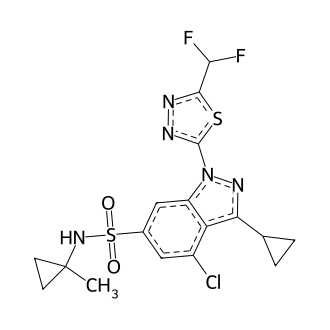 CC1(NS(=O)(=O)c2cc(Cl)c3c(C4CC4)nn(-c4nnc(C(F)F)s4)c3c2)CC1